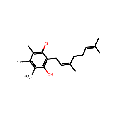 CCCc1c(C)c(O)c(CC=C(C)CCC=C(C)C)c(O)c1C(=O)O